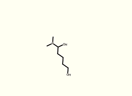 CN(C)C(O)CCCCO